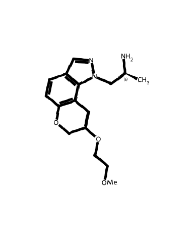 COCCOC1COc2ccc3cnn(C[C@H](C)N)c3c2C1